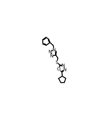 c1ccc(Cn2cc(CSc3nnc(C4CCCC4)o3)nn2)cc1